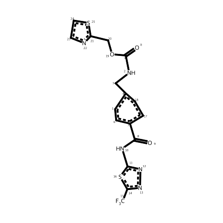 O=C(NCc1ccc(C(=O)Nc2nnc(C(F)(F)F)s2)cc1)OCc1nccs1